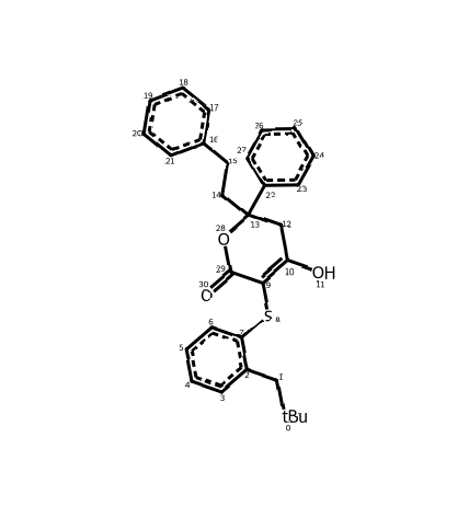 CC(C)(C)Cc1ccccc1SC1=C(O)CC(CCc2ccccc2)(c2ccccc2)OC1=O